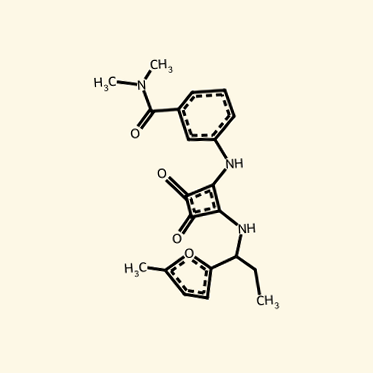 CCC(Nc1c(Nc2cccc(C(=O)N(C)C)c2)c(=O)c1=O)c1ccc(C)o1